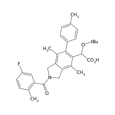 Cc1ccc(-c2c(C)c3c(c(C)c2C(OC(C)(C)C)C(=O)O)CN(C(=O)c2cc(F)ccc2C)C3)cc1